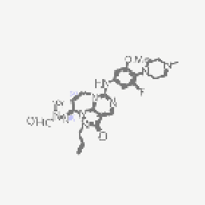 C=CCn1c(=O)c2cnc(Nc3cc(F)c(N4CCN(C)CC4)c(OC)c3)nc2n1C(/C=C\C)=N/N(C=O)C(C)C